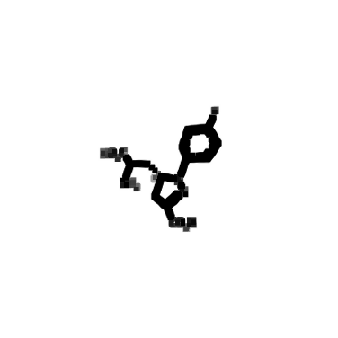 NC(C[C@H]1CC(C(=O)O)=NN1c1ccc(F)cc1)C(=O)O